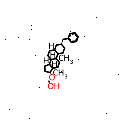 C[C@]12CC[C@H](Cc3ccccc3)C[C@H]1CC[C@@H]1[C@@H]2CC[C@]2(C)[C@@H](OCO)CC[C@@H]12